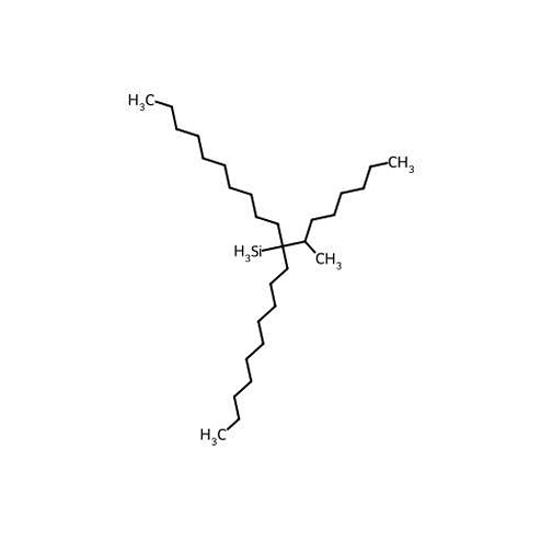 CCCCCCCCCCC([SiH3])(CCCCCCCCCC)C(C)CCCCCC